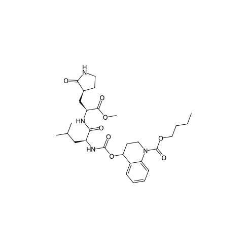 CCCCOC(=O)N1CCC(OC(=O)N[C@@H](CC(C)C)C(=O)N[C@@H](C[C@@H]2CCNC2=O)C(=O)OC)c2ccccc21